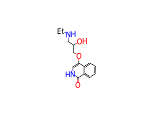 CCNCC(O)COc1c[nH]c(=O)c2ccccc12